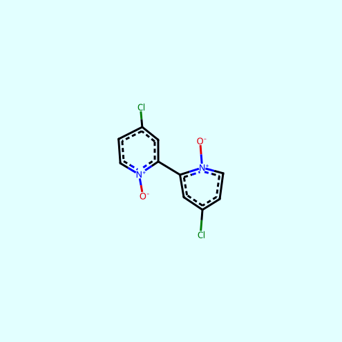 [O-][n+]1ccc(Cl)cc1-c1cc(Cl)cc[n+]1[O-]